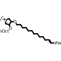 CCCCC/C=C/CCCCCCCCCCCOC1CN(C)CC1OCCCCCCCC